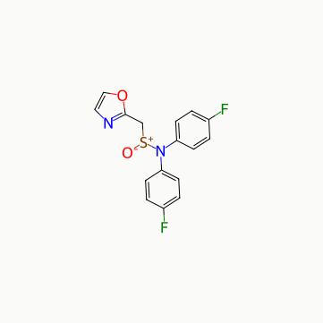 [O-][S+](Cc1ncco1)N(c1ccc(F)cc1)c1ccc(F)cc1